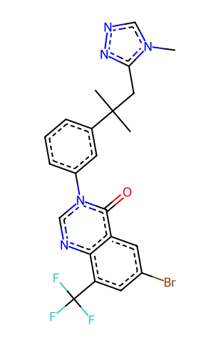 Cn1cnnc1CC(C)(C)c1cccc(-n2cnc3c(C(F)(F)F)cc(Br)cc3c2=O)c1